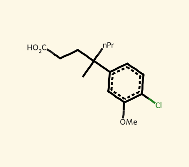 CCCC(C)(CCC(=O)O)c1ccc(Cl)c(OC)c1